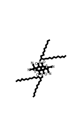 CCCCCCCCCCCCC(CCCCCCCCCC)CN1C(=O)c2c3sc(C#N)c(C#N)c3c3c4c(c5sc(C#N)c(C#N)c5c(c24)C1=O)C(=O)N(CC(CCCCCCCCCC)CCCCCCCCCCCC)C3=O